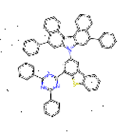 c1ccc(-c2nc(-c3ccccc3)nc(-c3cc(-n4c5cc(-c6ccccc6)c6ccccc6c5c5c6ccccc6c(-c6ccccc6)cc54)cc4c3sc3ccccc34)n2)cc1